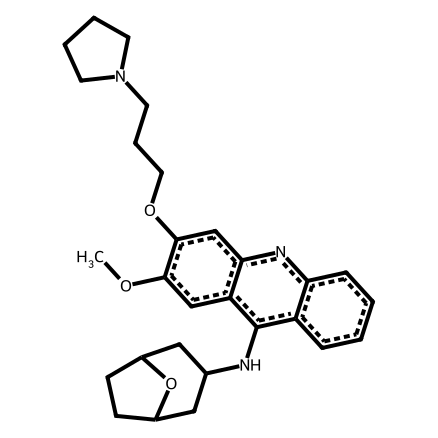 COc1cc2c(NC3CC4CCC(C3)O4)c3ccccc3nc2cc1OCCCN1CCCC1